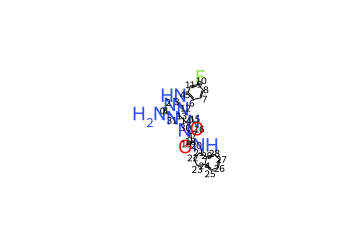 Nc1nc(Nc2cccc(F)c2)nc(-c2noc(C(=O)NC3CCc4ccccc43)n2)n1